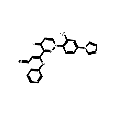 Cc1cc(-n2ccnc2)ccc1-n1ccc(=O)c(/C(=C/C=N)Nc2ccccc2)n1